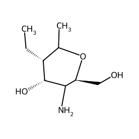 CC[C@@H]1C(C)O[C@@H](CO)C(N)[C@@H]1O